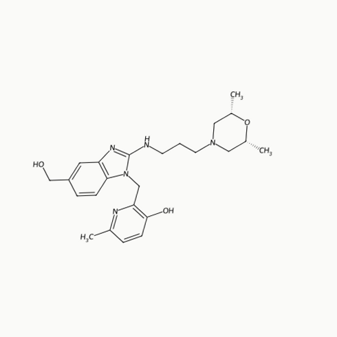 Cc1ccc(O)c(Cn2c(NCCCN3C[C@@H](C)O[C@@H](C)C3)nc3cc(CO)ccc32)n1